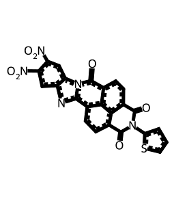 O=C1c2ccc3c(=O)n4c5cc([N+](=O)[O-])c([N+](=O)[O-])cc5nc4c4ccc(c2c34)C(=O)N1c1cccs1